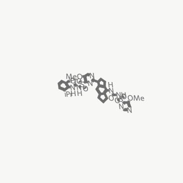 COc1cnc(C2CCc3c2cc2c(c3NC(=O)NS(=O)(=O)c3ncncc3OC)CCC2)nc1S(=O)(=O)NC(=O)Nc1c(C(C)C)cccc1C(C)C